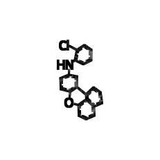 Clc1ccccc1Nc1ccc2c(c1)-c1cccc3cccc(c13)O2